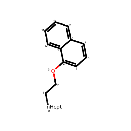 CCCCCCCCCOc1cccc2ccccc12